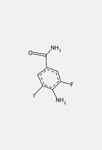 NC(=O)c1cc(F)c(N)c(I)c1